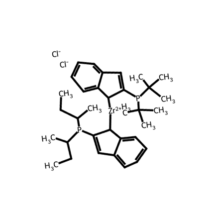 CCC(C)P(C1=Cc2ccccc2[CH]1[Zr+2][CH]1C(P(C(C)(C)C)C(C)(C)C)=Cc2ccccc21)C(C)CC.[Cl-].[Cl-]